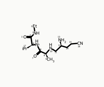 CCNC(=O)[C@@H](NC(=O)[C@H](C)NC[C@@H](N)CCC#N)C(C)C